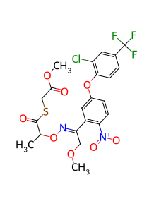 COCC(=NOC(C)C(=O)SCC(=O)OC)c1cc(Oc2ccc(C(F)(F)F)cc2Cl)ccc1[N+](=O)[O-]